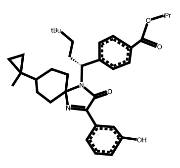 CC(C)OC(=O)c1ccc([C@@H](CCC(C)(C)C)N2C(=O)C(c3cccc(O)c3)=NC23CCC(C2(C)CC2)CC3)cc1